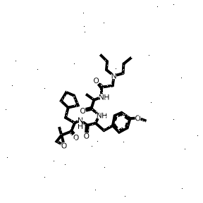 CCCN(CCC)CC(=O)NC(C)C(=O)NC(Cc1ccc(OC)cc1)C(=O)NC(CC1CCCC1)C(=O)C1(C)CO1